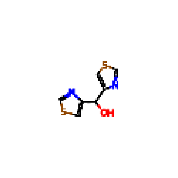 OC(c1cscn1)c1cscn1